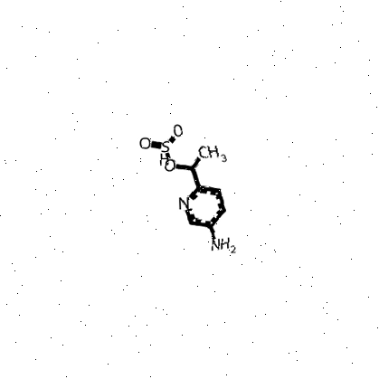 CC(O[SH](=O)=O)c1ccc(N)cn1